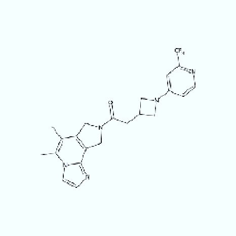 Cc1c2c(c3nccn3c1C)CN(C(=O)CC1CN(c3ccnc(C(F)(F)F)c3)C1)C2